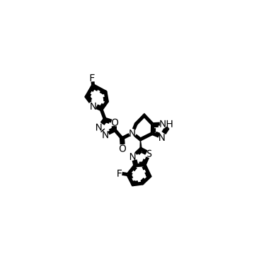 O=C(c1nnc(-c2ccc(F)cn2)o1)N1CCc2[nH]cnc2[C@H]1c1nc2c(F)cccc2s1